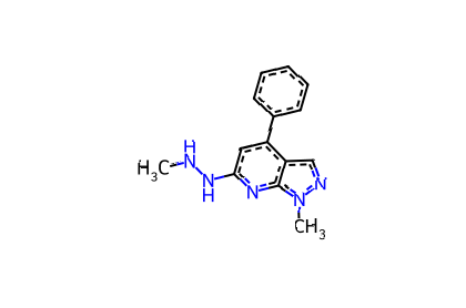 CNNc1cc(-c2ccccc2)c2cnn(C)c2n1